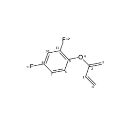 C=CC(=C)Oc1ccc(F)cc1F